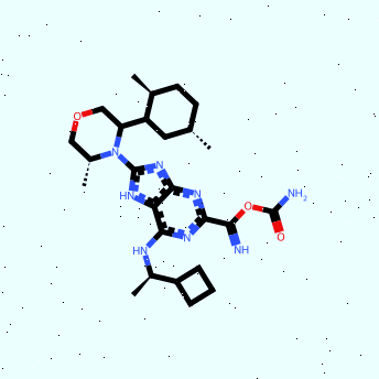 C[C@H]1CC[C@H](C)C(C2COC[C@@H](C)N2c2nc3nc(C(=N)OC(N)=O)nc(N[C@H](C)C4CCC4)c3[nH]2)C1